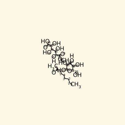 CCCCCCCC(C)=O.COC(=O)C(O)C(O)C(O)C(O)C(=O)O.OC[C@@H]1O[C@H](O)[C@@H](O)[C@H](O)[C@H]1O